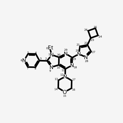 CCn1c(-c2ccncc2)nc2c(N3CCOCC3)nc(-n3cc(C4CCC4)cn3)nc21